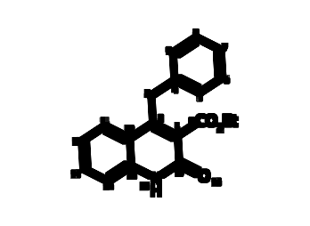 CCOC(=O)c1c(Cc2ccccc2)c2ccccc2[nH]c1=O